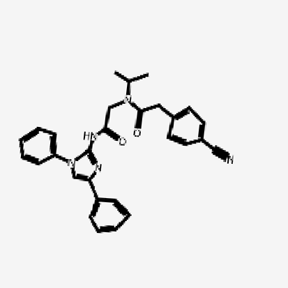 CC(C)N(CC(=O)Nc1nc(-c2ccccc2)cn1-c1ccccc1)C(=O)Cc1ccc(C#N)cc1